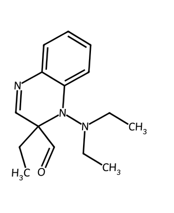 CCN(CC)N1c2ccccc2N=CC1(C=O)CC